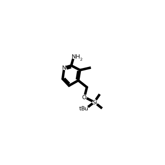 Cc1c(CO[Si](C)(C)C(C)(C)C)ccnc1N